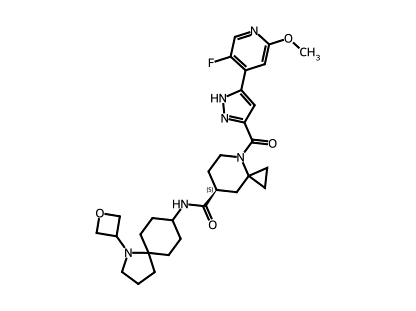 COc1cc(-c2cc(C(=O)N3CC[C@H](C(=O)NC4CCC5(CCCN5C5COC5)CC4)CC34CC4)n[nH]2)c(F)cn1